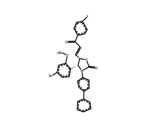 CCCCOc1cc(Br)ccc1[C@@H]1[C@@H](/C=C/C(=O)c2ccc(F)cc2)OC(=O)N1c1ccc(-c2ccccc2)cc1